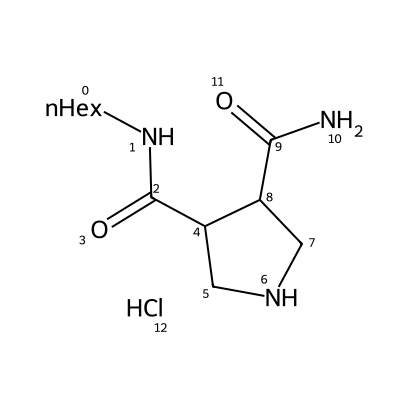 CCCCCCNC(=O)C1CNCC1C(N)=O.Cl